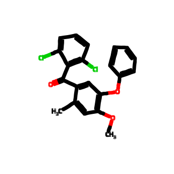 COc1cc(C)c(C(=O)c2c(Cl)cccc2Cl)cc1Oc1ccccc1